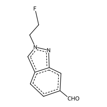 O=Cc1ccc2cn(CCF)nc2c1